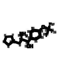 N[C@H](CN1CCCC1)C(O)c1ccc(OC(F)(F)F)cc1